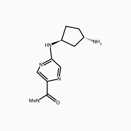 CNC(=O)c1cnc(N[C@H]2CC[C@H](N)C2)cn1